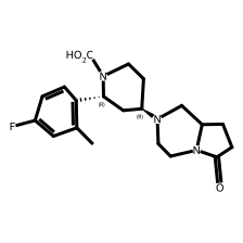 Cc1cc(F)ccc1[C@H]1C[C@H](N2CCN3C(=O)CCC3C2)CCN1C(=O)O